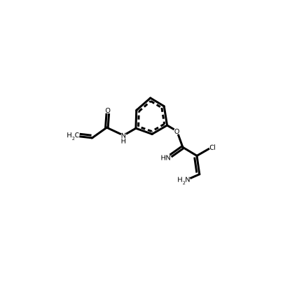 C=CC(=O)Nc1cccc(OC(=N)/C(Cl)=C\N)c1